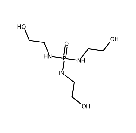 O=P(NCCO)(NCCO)NCCO